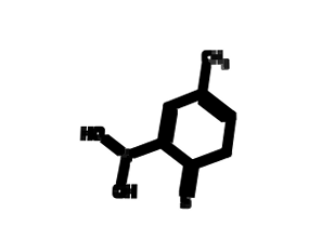 CC1=CCC(=S)C(B(O)O)=C1